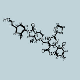 COC(=O)C1=C(CN2CCN3C(=O)N(c4ccc(CCO)cc4F)C[C@@H]3C2)NC(c2nccs2)=N[C@H]1c1ccc(F)cc1Cl